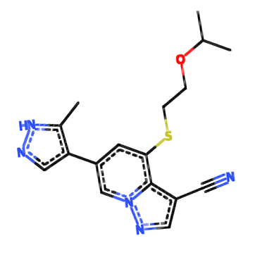 Cc1[nH]ncc1-c1cc(SCCOC(C)C)c2c(C#N)cnn2c1